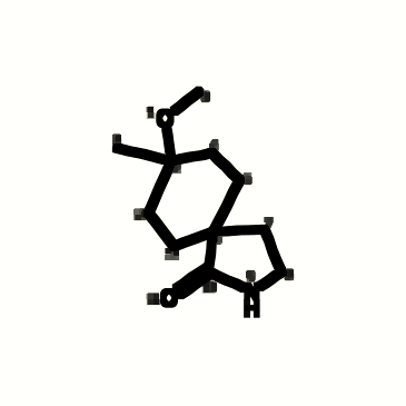 COC1(C)CCC2(CCNC2=O)CC1